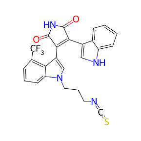 O=C1NC(=O)C(c2cn(CCCN=C=S)c3cccc(C(F)(F)F)c23)=C1c1c[nH]c2ccccc12